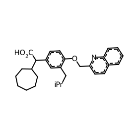 CC(C)Cc1cc(C(C(=O)O)C2CCCCCC2)ccc1OCc1ccc2ccccc2n1